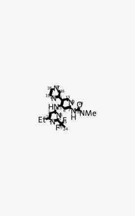 CCc1cc(Nc2cc(NC(=O)NC)ncc2-c2cnccn2)nc(C(C)(F)F)n1